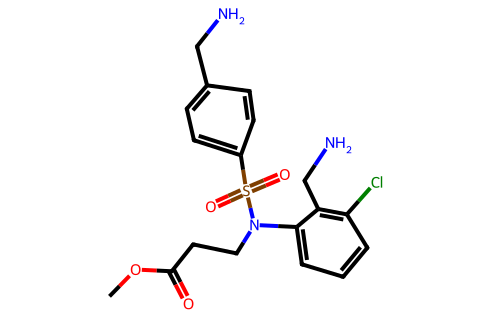 COC(=O)CCN(c1cccc(Cl)c1CN)S(=O)(=O)c1ccc(CN)cc1